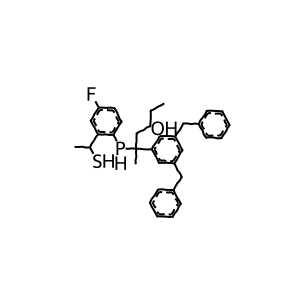 CCCCC(C)(Pc1ccc(F)cc1C(C)S)c1cc(Cc2ccccc2)cc(Cc2ccccc2)c1O